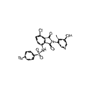 Cc1c(O)cncc1N1C(=O)c2c(Cl)ccc(NS(=O)(=O)c3ccc(C(C)(C)C)cc3)c2C1=O